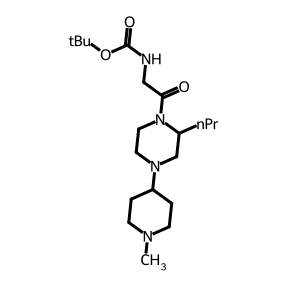 CCCC1CN(C2CCN(C)CC2)CCN1C(=O)CNC(=O)OC(C)(C)C